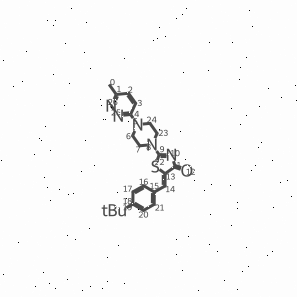 Cc1ccc(N2CCN(C3=NC(=O)C(=Cc4ccc(C(C)(C)C)cc4)S3)CC2)nn1